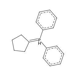 c1ccc([PH](=C2CCCC2)c2ccccc2)cc1